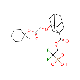 CC1(OC(=O)COC23CC4CC(C2)CC(C(=O)OCC(F)(F)S(=O)(=O)O)(C4)C3)CCCCC1